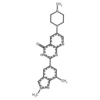 Cc1cc(-c2nc3ncc(N4CCN(C)CC4)cc3c(=O)[nH]2)cc2cn(C)nc12